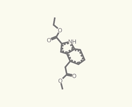 CCOC(=O)c1cc2c(CC(=O)OC)cccc2[nH]1